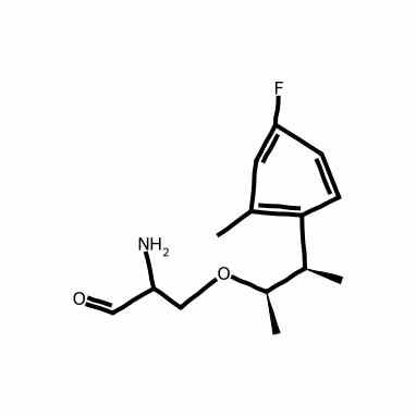 Cc1cc(F)ccc1[C@@H](C)[C@@H](C)OCC(N)C=O